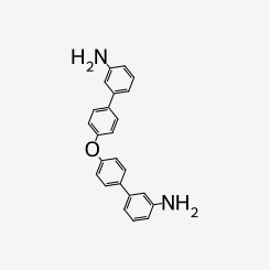 Nc1cccc(-c2ccc(Oc3ccc(-c4cccc(N)c4)cc3)cc2)c1